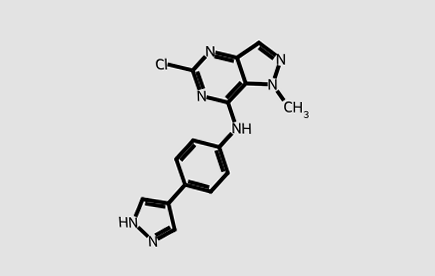 Cn1ncc2nc(Cl)nc(Nc3ccc(-c4cn[nH]c4)cc3)c21